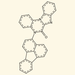 O=c1c2nc3ccccc3n2c2ccccc2n1-c1ccc2c3c(cccc13)-c1ccccc1-2